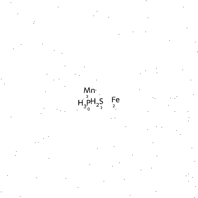 P.S.[Fe].[Mn]